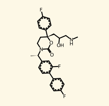 CNCC(O)C[C@]1(c2ccc(F)cc2)CCN([C@@H](C)c2ccc(-c3ccc(F)cc3)c(F)c2)C(=O)O1